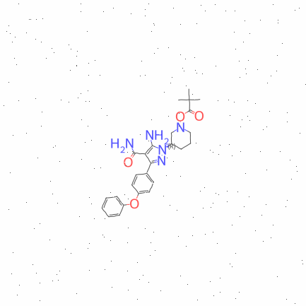 CC(C)(C)C(=O)ON1CCC[C@@H](n2nc(-c3ccc(Oc4ccccc4)cc3)c(C(N)=O)c2N)C1